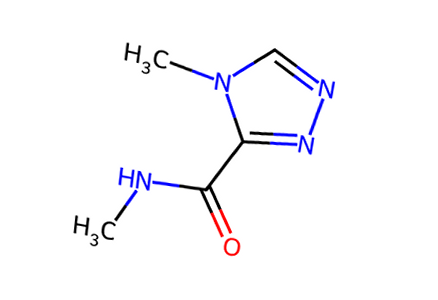 CNC(=O)c1nncn1C